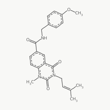 COc1ccc(CNC(=O)c2ccc3c(c2)c(=O)n(CC=C(C)C)c(=O)n3C)cc1